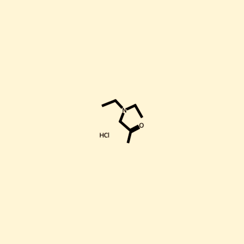 CCN(CC)CC(C)=O.Cl